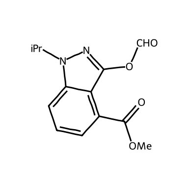 COC(=O)c1cccc2c1c(OC=O)nn2C(C)C